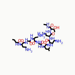 CCCC(=O)NC(CCN)C(=O)NCC(=O)NC(CCN)C(=O)NCC(=O)NC(CC(C)C)C(=O)NC(CCN)C(=O)NC(CCN)C(=O)NC(C(=O)NCC)C(C)O